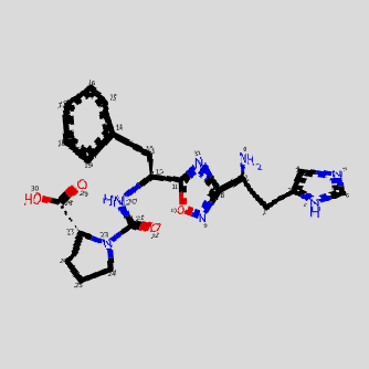 N[C@@H](Cc1cnc[nH]1)c1noc([C@H](Cc2ccccc2)NC(=O)N2CCC[C@@H]2C(=O)O)n1